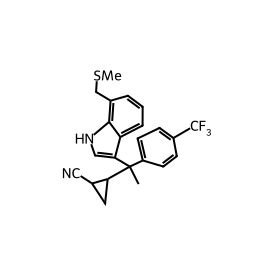 CSCc1cccc2c(C(C)(c3ccc(C(F)(F)F)cc3)C3CC3C#N)c[nH]c12